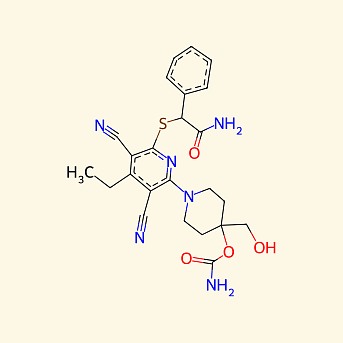 CCc1c(C#N)c(SC(C(N)=O)c2ccccc2)nc(N2CCC(CO)(OC(N)=O)CC2)c1C#N